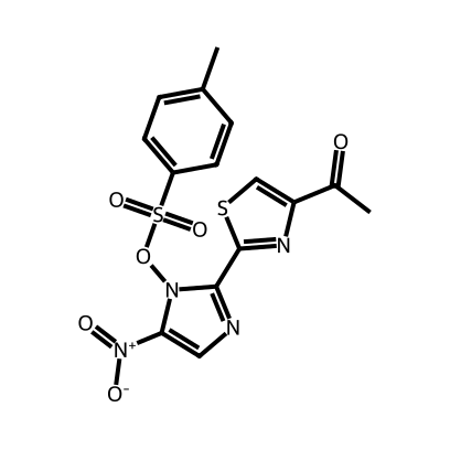 CC(=O)c1csc(-c2ncc([N+](=O)[O-])n2OS(=O)(=O)c2ccc(C)cc2)n1